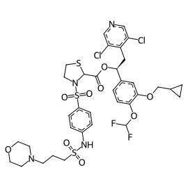 O=C(O[C@@H](Cc1c(Cl)cncc1Cl)c1ccc(OC(F)F)c(OCC2CC2)c1)C1SCCN1S(=O)(=O)c1ccc(NS(=O)(=O)CCCN2CCOCC2)cc1